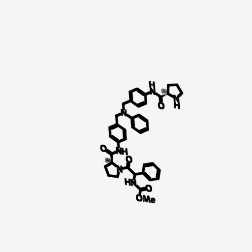 COC(=O)NC(C(=O)N1CCC[C@H]1C(=O)Nc1ccc(CN(Cc2ccc(NC(=O)[C@@H]3CCCN3)cc2)c2ccccc2)cc1)c1ccccc1